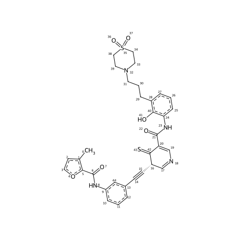 Cc1ccoc1C(=O)Nc1cccc(C#C[C@H]2C=NC=C(C(=O)Nc3cccc(CCCN4CCS(=O)(=O)CC4)c3O)C2=S)c1